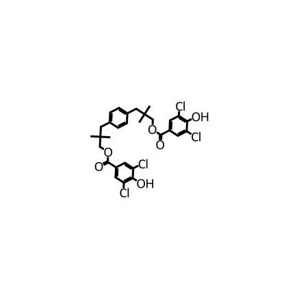 CC(C)(COC(=O)c1cc(Cl)c(O)c(Cl)c1)Cc1ccc(CC(C)(C)COC(=O)c2cc(Cl)c(O)c(Cl)c2)cc1